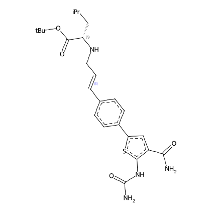 CC(C)C[C@H](NC/C=C/c1ccc(-c2cc(C(N)=O)c(NC(N)=O)s2)cc1)C(=O)OC(C)(C)C